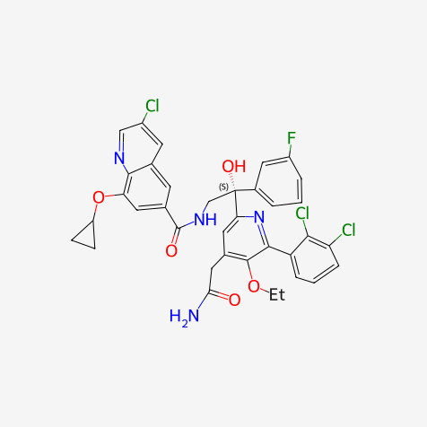 CCOc1c(CC(N)=O)cc([C@@](O)(CNC(=O)c2cc(OC3CC3)c3ncc(Cl)cc3c2)c2cccc(F)c2)nc1-c1cccc(Cl)c1Cl